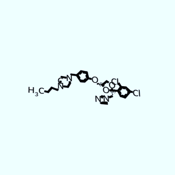 CCCCN1CCN(Cc2ccc(OC[C@@H]3CO[C@@](Cn4ccnc4)(c4ccc(Cl)cc4Cl)O3)cc2)CC1